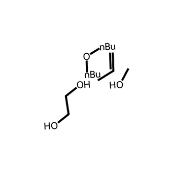 C=CC.CCCCOCCCC.CO.OCCO